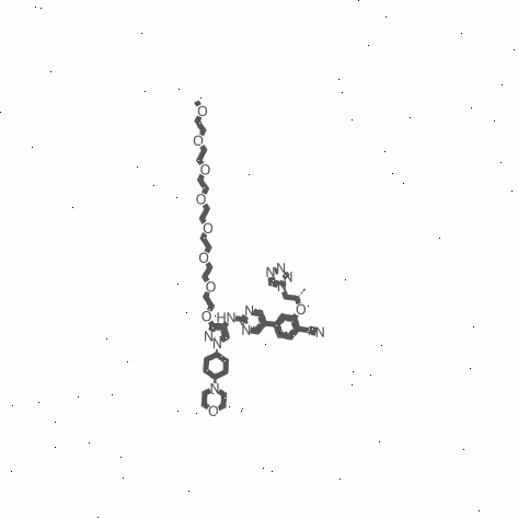 COCCOCCOCCOCCOCCOCCOCCOc1nn([C@H]2CC[C@H](N3CCOCC3)CC2)cc1Nc1ncc(-c2ccc(C#N)c(O[C@@H](C)Cn3cnnn3)c2)cn1